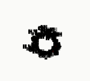 CCCC[C@H]1C(=O)NC(C)(C)C(=O)N[C@@H](CC2Cc3ccccc3C2)C(=O)N[C@@H](Cc2ccc(F)cc2)C(=O)N(C)CC(=O)N[C@@H](Cc2ccc(O)cc2)C(=O)N[C@@H](Cc2ccc(O)cc2)C(=O)N[C@@H](CCCNC(N)=O)C(=O)N[C@H](CCCCN)C(=O)N[C@@H](CC2CCCCC2)C(=O)N[C@H](C(=O)N/C=C(\CCC(=O)O)C(N)=O)CSCC(=O)N(C)[C@@H](CCC(=O)O)C(=O)N1C